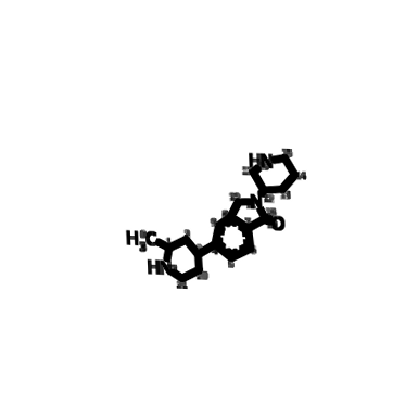 CC1CC(c2ccc3c(c2)CN(C2CCCNC2)C3=O)CCN1